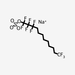 O=S(=O)([O-])OC(F)(F)C(F)(F)C(F)(F)CCCCCCCCC(F)(F)F.[Na+]